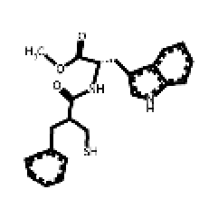 COC(=O)[C@H](Cc1c[nH]c2ccccc12)NC(=O)C(CS)Cc1ccccc1